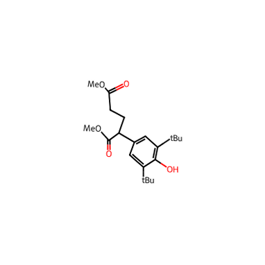 COC(=O)CCC(C(=O)OC)c1cc(C(C)(C)C)c(O)c(C(C)(C)C)c1